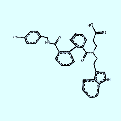 O=C(O)CCN(CCc1c[nH]c2ccccc12)C(=O)c1ccccc1-c1ccccc1C(=O)NCc1ccc(Cl)cc1